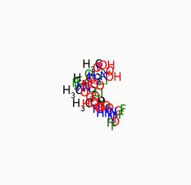 CC(C)OC(=O)c1cc(-n2c(=O)cc(C(F)(F)F)n(C)c2=O)ccc1Cl.COc1c(Cl)ccc(Cl)c1C(=O)O.CP(=O)(O)CCC(N)C(=O)O.O=C(Nc1nc(OC(F)F)cc(OC(F)F)n1)NS(=O)(=O)c1ccccc1C(=O)O